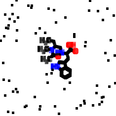 CC[C@@H](CN[C@H](Cc1c[nH]c2ccccc12)C(=O)O)N(C)C(C)=O